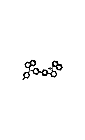 CC1C=CC(N(C2=c3ccccc3=CCC2)C2C=CC(c3ccc(C4C=CCCC4Nc4cccc5ccccc45)cc3)=CC2)CC1